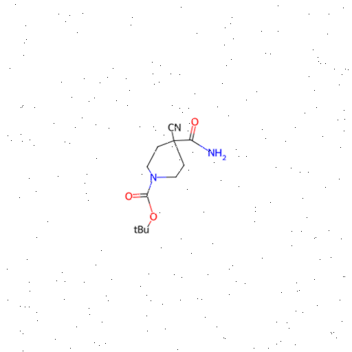 CC(C)(C)OC(=O)N1CCC(C#N)(C(N)=O)CC1